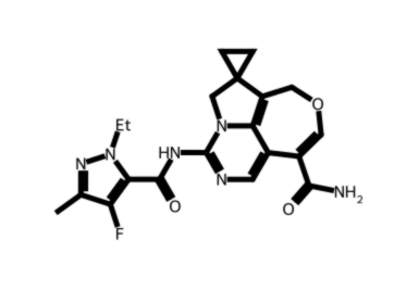 CCn1nc(C)c(F)c1C(=O)NC1=NC=C2C(C(N)=O)=COCC3=C2N1CC31CC1